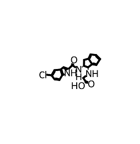 O=C(O)CN[C@H]1c2ccccc2C[C@H]1NC(=O)c1cc2cc(Cl)ccc2[nH]1